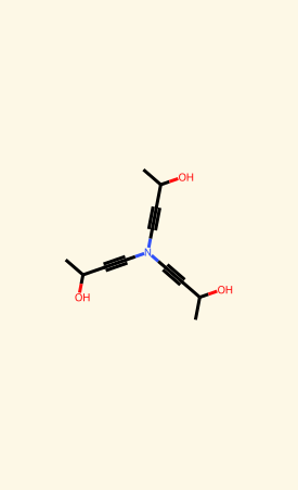 CC(O)C#CN(C#CC(C)O)C#CC(C)O